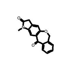 CN1C(=O)Cc2cc3c(cc21)C(=O)c1ccccc1CO3